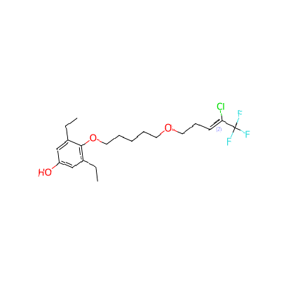 CCc1cc(O)cc(CC)c1OCCCCCOCC/C=C(\Cl)C(F)(F)F